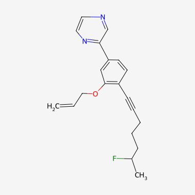 C=CCOc1cc(-c2cnccn2)ccc1C#CCCCC(C)F